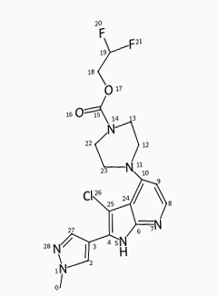 Cn1cc(-c2[nH]c3nccc(N4CCN(C(=O)OCC(F)F)CC4)c3c2Cl)cn1